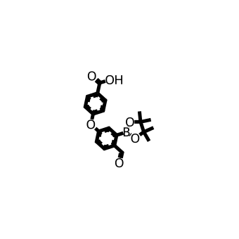 CC1(C)OB(c2cc(Oc3ccc(C(=O)O)cc3)ccc2C=O)OC1(C)C